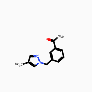 COC(=O)c1cccc(Cn2cc(C(=O)O)cn2)c1